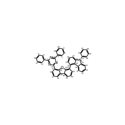 c1ccc(-c2nc(-c3ccccc3)nc(-c3cccc4c3oc3c(-c5cccc6c5c5ccccc5n6-c5ccccc5)cccc34)n2)cc1